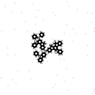 CC1(C)c2cc(N(c3ccc4c(c3)C(C)(C)c3c5c(c6c(oc7ccccc76)c3-4)-c3ccccc3C5(C)C)c3ccc4c5ccccc5n(-c5ccccc5)c4c3)ccc2-c2c1cc(N(c1ccccc1)c1ccccc1)c1oc3ccccc3c21